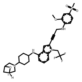 COc1cc(S(C)(=O)=O)ccc1NCC#Cc1cc2c(NC3CCC(N4CC5C[C@@H](C4)O5)CC3)cccc2n1CC(F)(F)F